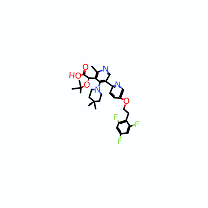 Cc1ncc(-c2ccc(OCCc3c(F)cc(F)cc3F)cn2)c(N2CCC(C)(C)CC2)c1[C@H](OC(C)(C)C)C(=O)O